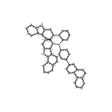 c1ccc(N(c2ccc(-c3ccc4c(ccc5ccccc54)c3)cc2)c2cccc3oc4c5ccccc5ccc4c23)c(-c2ccc3c(c2)oc2ccccc23)c1